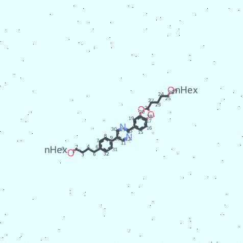 CCCCCCOCCCCc1ccc(-c2cnc(-c3ccc4c(c3)OC(CCCCOCCCCCC)O4)nc2)cc1